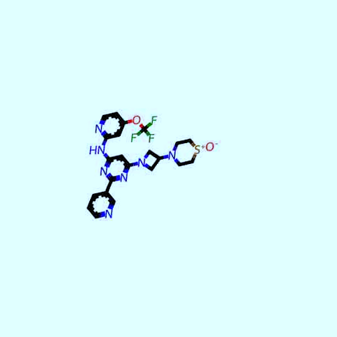 [O-][S+]1CCN(C2CN(c3cc(Nc4cc(OC(F)(F)F)ccn4)nc(-c4cccnc4)n3)C2)CC1